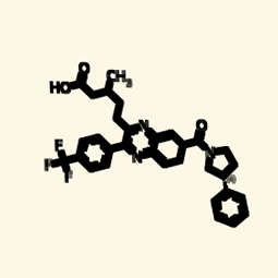 CC(CCc1nc2c(nc1-c1ccc(C(F)(F)F)cc1)=CCC(C(=O)N1CC[C@H](c3ccccc3)C1)C=2)CC(=O)O